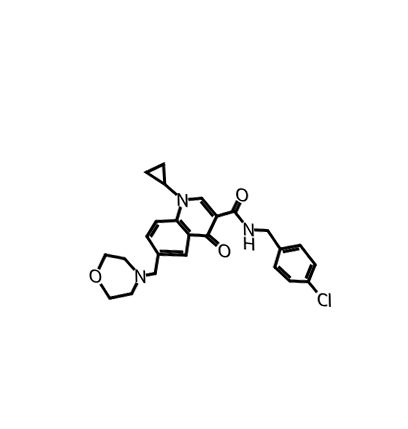 O=C(NCc1ccc(Cl)cc1)c1cn(C2CC2)c2ccc(CN3CCOCC3)cc2c1=O